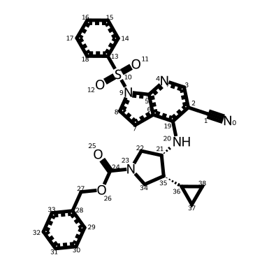 N#Cc1cnc2c(ccn2S(=O)(=O)c2ccccc2)c1N[C@H]1CN(C(=O)OCc2ccccc2)C[C@H]1C1CC1